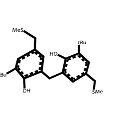 CSCc1cc(Cc2cc(CSC)cc(C(C)(C)C)c2O)c(O)c(C(C)(C)C)c1